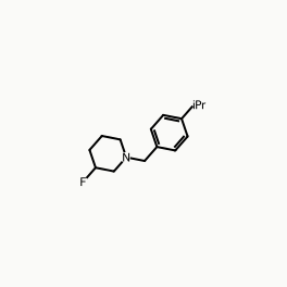 CC(C)c1ccc(CN2CCCC(F)C2)cc1